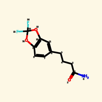 NC(=O)CCCc1ccc2c(c1)OC(F)(F)O2